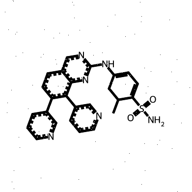 CC1CC(Nc2ncc3ccc(-c4cccnc4)c(-c4cccnc4)c3n2)=CC=C1S(N)(=O)=O